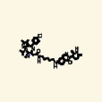 C=C1CCC(n2ncc3cc(NCCCCCNC(=O)CC4N=C(c5ccc(Cl)cc5)c5c(sc(C)c5C)N(C(=C)C)/C4=N\C)ccc3c2=O)C(=C)N1